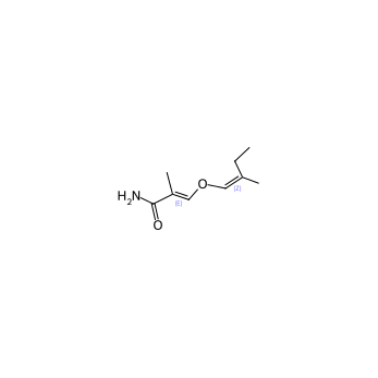 CC/C(C)=C\O/C=C(\C)C(N)=O